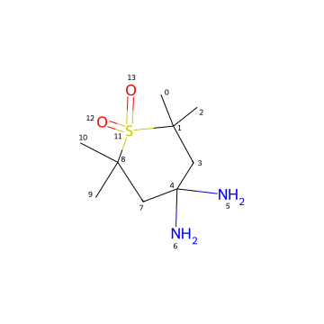 CC1(C)CC(N)(N)CC(C)(C)S1(=O)=O